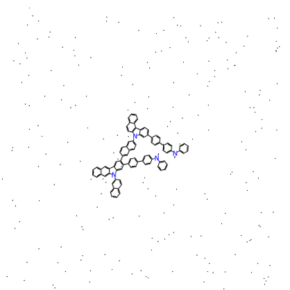 CN(c1ccccc1)c1ccc(-c2ccc(-c3ccc4c5c6ccccc6ccc5n(-c5ccc6cc(-c7cc8c9cc%10ccccc%10cc9n(-c9ccc%10ccccc%10c9)c8cc7-c7ccc(-c8ccc(N(C)c9ccccc9)cc8)cc7)ccc6c5)c4c3)cc2)cc1